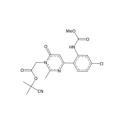 COC(=O)Nc1cc(Cl)ccc1-c1cc(=O)n(CC(=O)OC(C)(C)C#N)c(C)n1